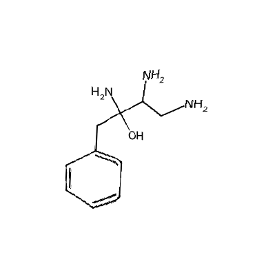 NCC(N)C(N)(O)Cc1ccccc1